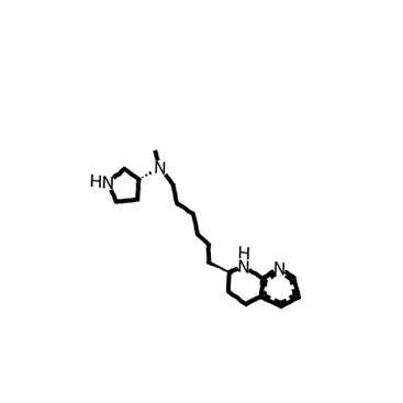 CN(CCCCCC[C@@H]1CCc2cccnc2N1)[C@@H]1CCNC1